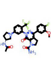 COc1cc(-c2nn(-c3cc(N4CC[C@@H](NC(C)=O)C4)ccc3C(F)(F)F)c(=O)c3c2CCN3C(N)=O)ccc1F